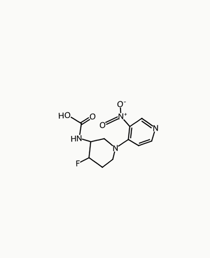 O=C(O)NC1CN(c2ccncc2[N+](=O)[O-])CCC1F